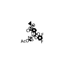 CC(=O)Oc1csc(NC(=O)C(Oc2ccc(F)cc2F)c2ccc(S(=O)(=O)C3CC3)c(Cl)c2)n1